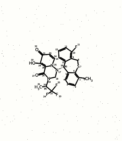 Cc1cccc2c1SCc1c(F)cccc1[C@H]2N1CN([C@H](C)C(F)(F)F)C(=O)c2c(O)c(=O)ccn21